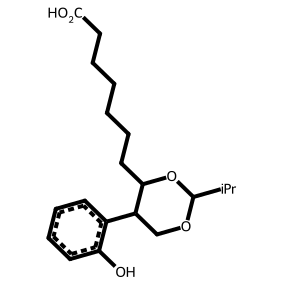 CC(C)C1OCC(c2ccccc2O)C(CCCCCCC(=O)O)O1